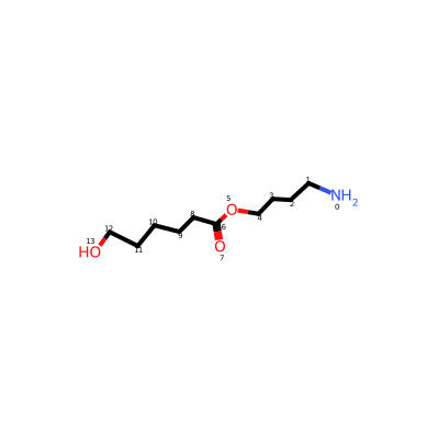 NCCCCOC(=O)CCCCCO